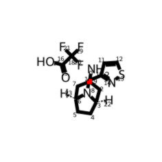 NC1C[C@H]2CC[C@@H](C1)N2Cc1ccsn1.O=C(O)C(F)(F)F